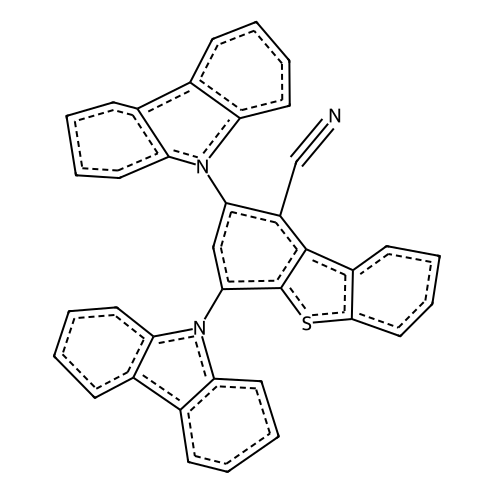 N#Cc1c(-n2c3ccccc3c3ccccc32)cc(-n2c3ccccc3c3ccccc32)c2sc3ccccc3c12